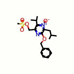 CC(C)Cc1c(OCc2ccccc2)nc(COS(C)(=O)=O)c(C(C)C)[n+]1[O-]